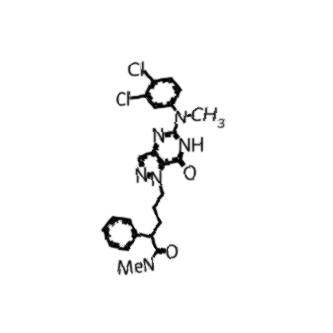 CNC(=O)C(CCCn1ncc2nc(N(C)c3ccc(Cl)c(Cl)c3)[nH]c(=O)c21)c1ccccc1